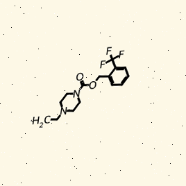 [CH2]CN1CCN(C(=O)OCc2ccccc2C(F)(F)F)CC1